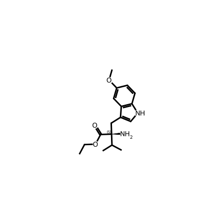 CCOC(=O)[C@](N)(Cc1c[nH]c2ccc(OC)cc12)C(C)C